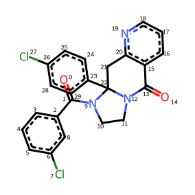 O=C(c1cccc(Cl)c1)N1CCN2C(=O)c3cccnc3CC12c1ccc(Cl)cc1